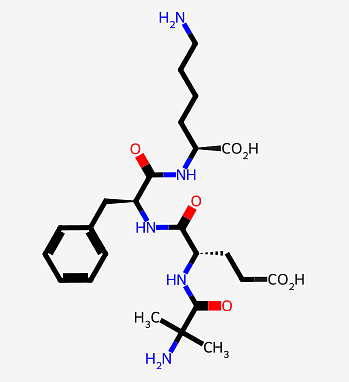 CC(C)(N)C(=O)N[C@@H](CCC(=O)O)C(=O)N[C@@H](Cc1ccccc1)C(=O)N[C@@H](CCCCN)C(=O)O